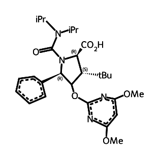 COc1cc(OC)nc(OC2[C@@H](c3ccccc3)N(C(=O)N(C(C)C)C(C)C)[C@@H](C(=O)O)[C@@H]2C(C)(C)C)n1